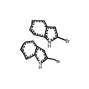 Brc1cc2ccccc2[nH]1.Brc1cc2ccccc2[nH]1